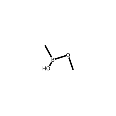 COB(C)O